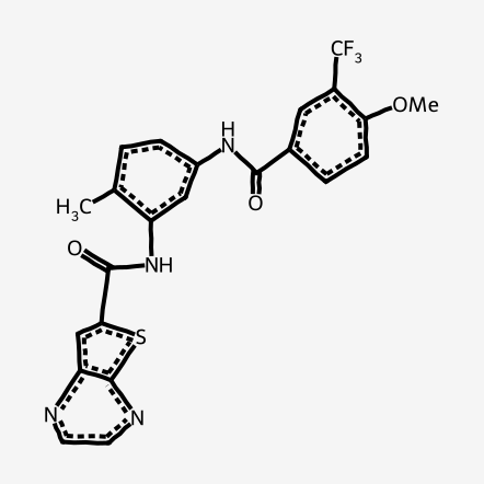 COc1ccc(C(=O)Nc2ccc(C)c(NC(=O)c3cc4nccnc4s3)c2)cc1C(F)(F)F